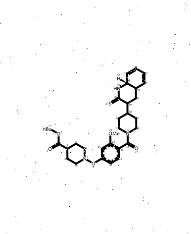 CCCCOC(=O)C1CCN(Oc2ccc(C(=O)N3CCC(C4CC5C=CC=C[C@H]5NC4=S)CC3)c(OC)c2)CC1